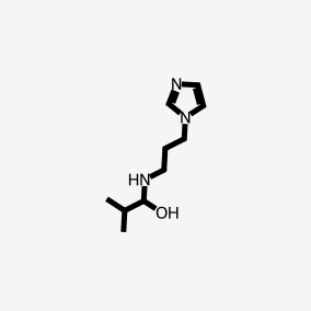 CC(C)C(O)NCCCn1ccnc1